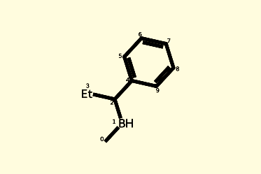 CBC(CC)c1ccccc1